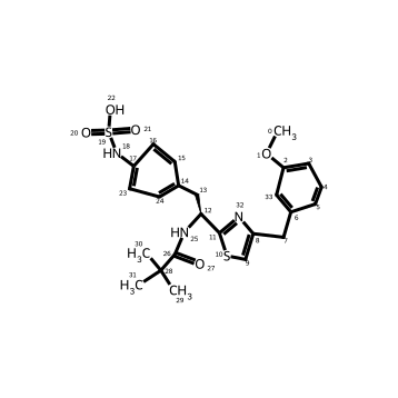 COc1cccc(Cc2csc([C@H](Cc3ccc(NS(=O)(=O)O)cc3)NC(=O)C(C)(C)C)n2)c1